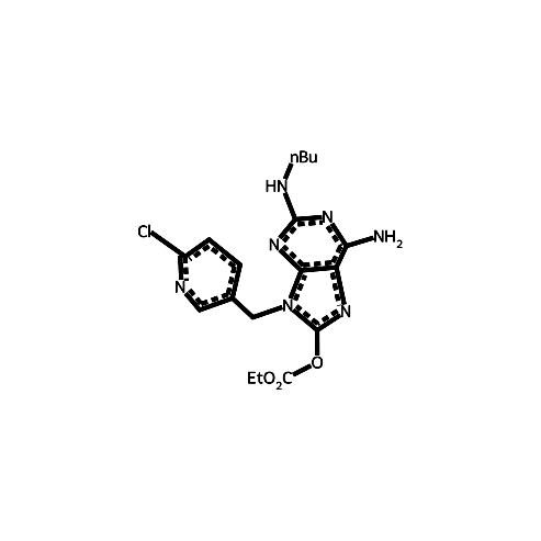 CCCCNc1nc(N)c2nc(OC(=O)OCC)n(Cc3ccc(Cl)nc3)c2n1